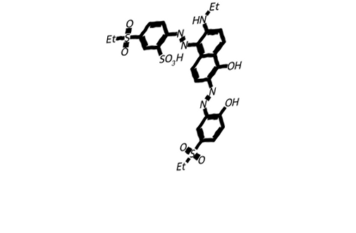 CCNc1ccc2c(O)c(/N=N/c3cc(S(=O)(=O)CC)ccc3O)ccc2c1/N=N/c1ccc(S(=O)(=O)CC)cc1S(=O)(=O)O